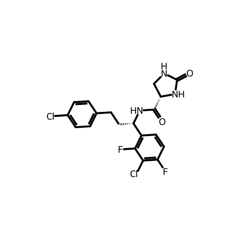 O=C1NC[C@@H](C(=O)N[C@@H](CCc2ccc(Cl)cc2)c2ccc(F)c(Cl)c2F)N1